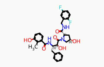 Cc1c(O)cccc1C(=O)N[C@@H](Cc1ccccc1)[C@H](O)C(=O)N1C[C@H](O)C[C@H]1C(=O)NCc1cc(F)ccc1F